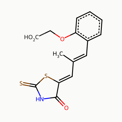 CC(/C=C1\SC(=S)NC1=O)=C\c1ccccc1OCC(=O)O